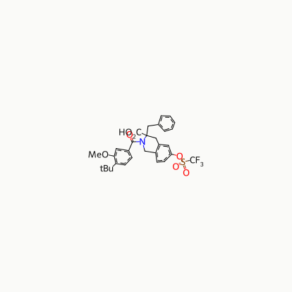 COc1cc(C(=O)N2Cc3ccc(OS(=O)(=O)C(F)(F)F)cc3CC2(Cc2ccccc2)C(=O)O)ccc1C(C)(C)C